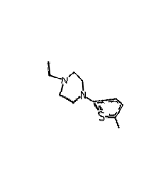 CCN1CCN(c2ccc(C)s2)CC1